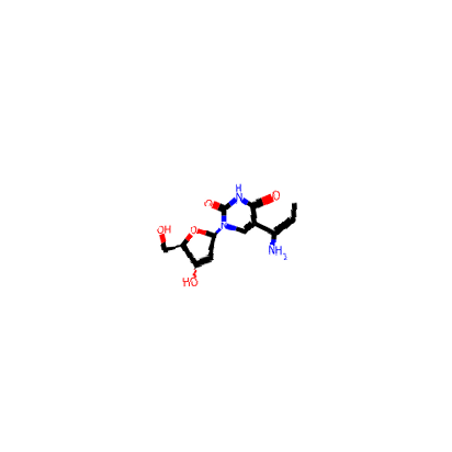 C/C=C(/N)c1cn([C@H]2C[C@H](O)[C@@H](CO)O2)c(=O)[nH]c1=O